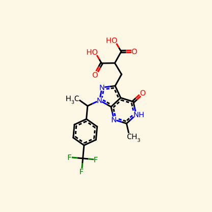 Cc1nc2c(c(CC(C(=O)O)C(=O)O)nn2C(C)c2ccc(C(F)(F)F)cc2)c(=O)[nH]1